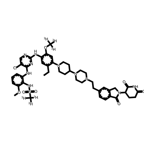 [2H]C([2H])([2H])Oc1cc(N2CCC(N3CCN(CCc4ccc5c(c4)CN(C4CCC(=O)NC4=O)C5=O)CC3)CC2)c(CC)cc1Nc1ncc(Cl)c(Nc2cccc(OC)c2NS(=O)(=O)C([2H])([2H])[2H])n1